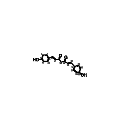 O=C(/C=C/c1ccc(O)cc1)CC(=O)/C=C/c1ccc(O)cc1